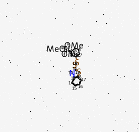 CO[Si](OC)(OC)C1CCCC(SSc2nc3ccccc3s2)C1